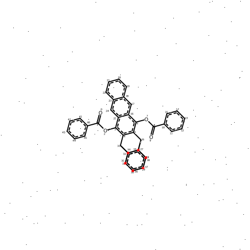 O=C(Oc1c2c(c(OC(=O)c3ccccc3)c3cc4ccccc4cc13)C1c3ccccc3C2c2ccccc21)c1ccccc1